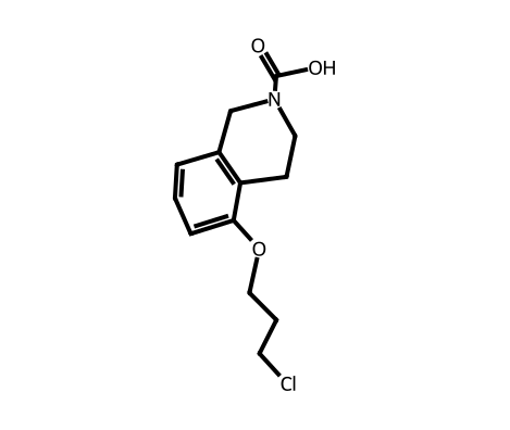 O=C(O)N1CCc2c(cccc2OCCCCl)C1